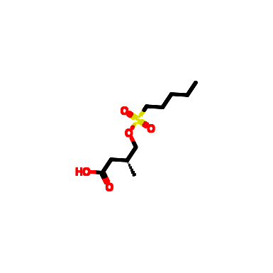 CCCCCS(=O)(=O)OC[C@H](C)CC(=O)O